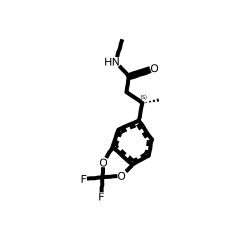 CNC(=O)C[C@H](C)c1ccc2c(c1)OC(F)(F)O2